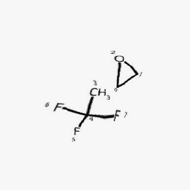 C1CO1.CC(F)(F)F